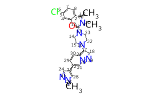 C[C@H](c1ccc(Cl)cc1)N(C)C(=O)N1CCN(c2cnn3cc(-c4cnn(C)c4)ccc23)CC1